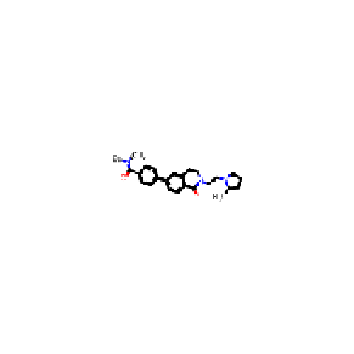 CCN(C)C(=O)c1ccc(-c2ccc3c(c2)CCN(CCN2CCCC2C)C3=O)cc1